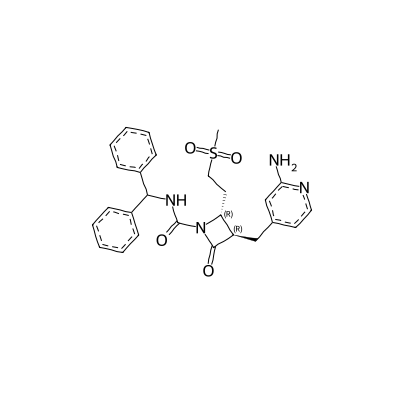 CS(=O)(=O)CC[C@@H]1[C@@H](Cc2ccnc(N)c2)C(=O)N1C(=O)NC(c1ccccc1)c1ccccc1